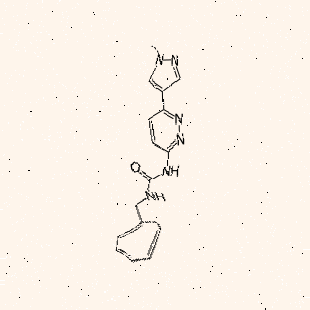 Cn1cc(-c2ccc(NC(=O)NCc3ccccc3)nn2)cn1